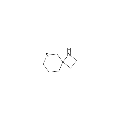 C1CSCC2(C1)CCN2